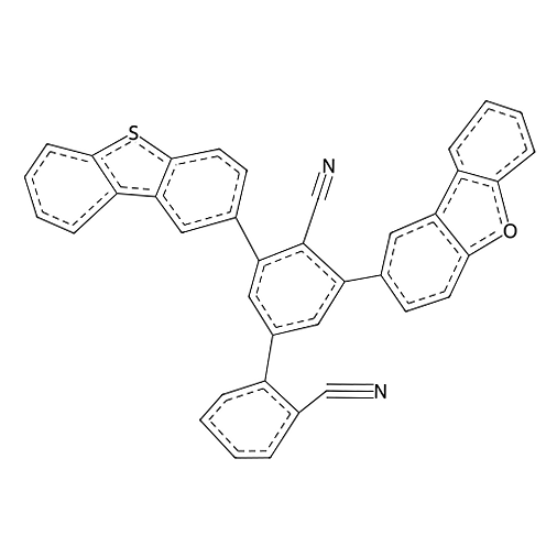 N#Cc1ccccc1-c1cc(-c2ccc3oc4ccccc4c3c2)c(C#N)c(-c2ccc3sc4ccccc4c3c2)c1